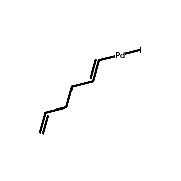 C=CCCC=[CH][Pd][I]